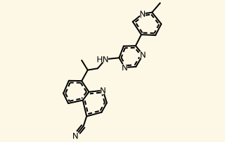 Cc1ccc(-c2cc(NCC(C)c3cccc4c(C#N)ccnc34)ncn2)cn1